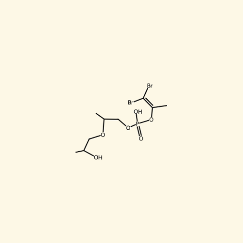 CC(OP(=O)(O)OCC(C)OCC(C)O)=C(Br)Br